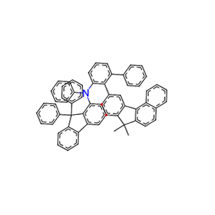 CC1(C)c2ccc(-c3c(-c4ccccc4)cccc3N(c3ccccc3)c3cccc4c3C(c3ccccc3)(c3ccccc3)c3ccccc3-4)cc2-c2c1ccc1ccccc21